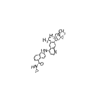 Cc1cc2c(Nc3ccc4c(C(=O)NC5CC5)cccc4c3)ccnc2cc1OCC1(N(C)C)CC1